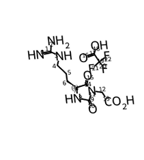 N=C(N)NCCC[C@@H]1NC(=O)N(CC(=O)O)C1=O.O=C(O)C(F)(F)F